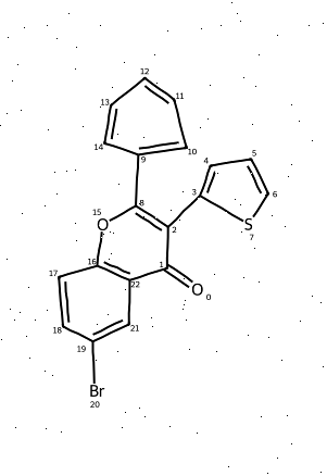 O=c1c(-c2cccs2)c(-c2ccccc2)oc2ccc(Br)cc12